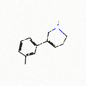 CC(C)N1CCC=C(c2cccc(C(F)(F)F)c2)C1.Cl